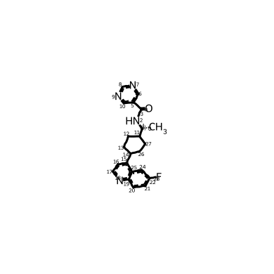 C[C@@H](NC(=O)c1cncnc1)C1CCC(c2ccnc3ccc(F)cc23)CC1